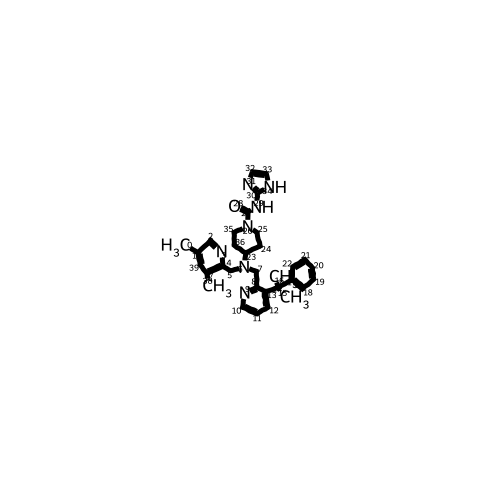 Cc1cnc(CN(Cc2ncccc2C(C)(C)c2ccccc2)C2CCN(C(=O)Nc3ncc[nH]3)CC2)c(C)c1